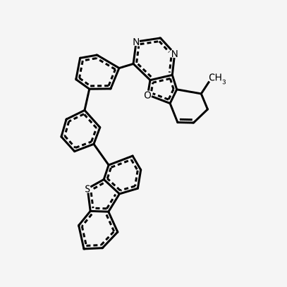 CC1CC=Cc2oc3c(-c4cccc(-c5cccc(-c6cccc7c6sc6ccccc67)c5)c4)ncnc3c21